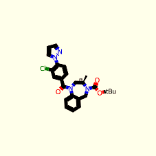 C[C@@H]1CN(C(=O)c2ccc(-n3cccn3)c(Cl)c2)c2ccccc2CN1C(=O)OC(C)(C)C